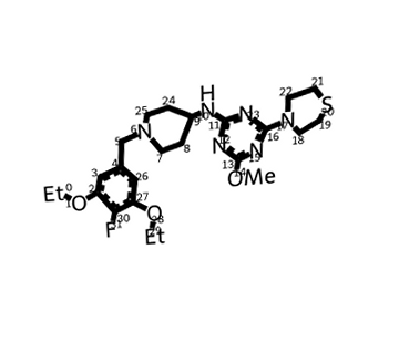 CCOc1cc(CN2CCC(Nc3nc(OC)nc(N4CCSCC4)n3)CC2)cc(OCC)c1F